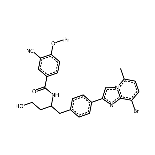 Cc1ccc(Br)c2nc(-c3ccc(CC(CCO)NC(=O)c4ccc(OC(C)C)c(C#N)c4)cc3)cn12